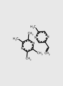 C=Cc1cnc(C)cn1.Cc1nc(C)c(C)nc1C